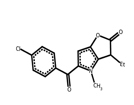 CCC1C(=O)Oc2cc(C(=O)c3ccc(Cl)cc3)n(C)c21